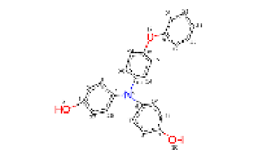 Oc1ccc(N(c2ccc(O)cc2)c2ccc(Oc3ccccc3)cc2)cc1